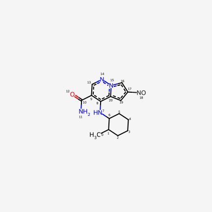 CC1CCCCC1Nc1c(C(N)=O)cnn2cc(N=O)cc12